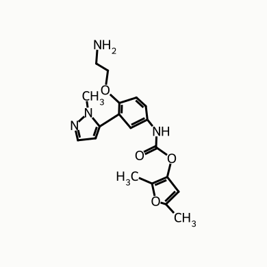 Cc1cc(OC(=O)Nc2ccc(OCCN)c(-c3ccnn3C)c2)c(C)o1